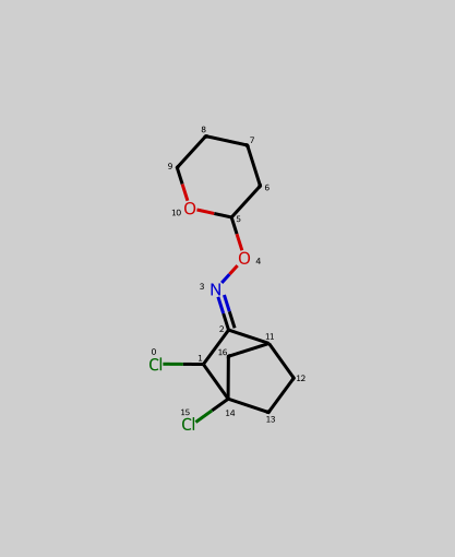 ClC1C(=NOC2CCCCO2)C2CCC1(Cl)C2